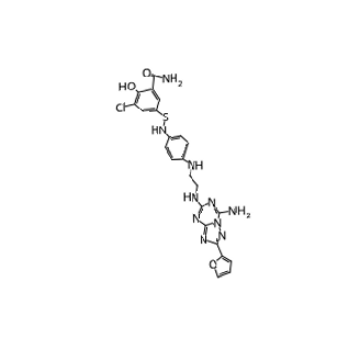 NC(=O)c1cc(SNc2ccc(NCCNc3nc(N)n4nc(-c5ccco5)nc4n3)cc2)cc(Cl)c1O